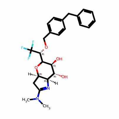 CN(C)C1=N[C@@H]2[C@@H](O)[C@H](O)C([C@@H](OCc3ccc(Cc4ccccc4)cc3)C(F)(F)F)O[C@@H]2C1